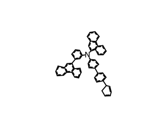 C1=CCC(c2ccc(-c3ccc(N(c4cccc(-c5cc6ccccc6c6ccccc56)c4)c4cc5ccccc5c5ccccc45)cc3)cc2)C=C1